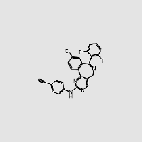 C#Cc1ccc(Nc2ncc3c(n2)-c2ccc(Cl)cc2C(c2c(F)cccc2F)=NC3)cc1